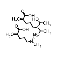 C=C(CCCN(C(C)O)C(C)O)C(=O)O.C=C(CCCN(C)C)C(=O)O